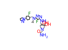 NC(=O)CN1CC[C@](O)(CNc2ncnc(N(Cc3ccc(-n4cccn4)cc3F)C3CC3)c2F)[C@@H](O)C1